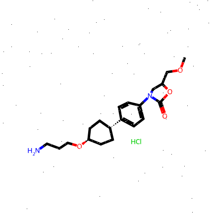 COCC1CN(c2ccc([C@H]3CC[C@H](OCCCN)CC3)cc2)C(=O)O1.Cl